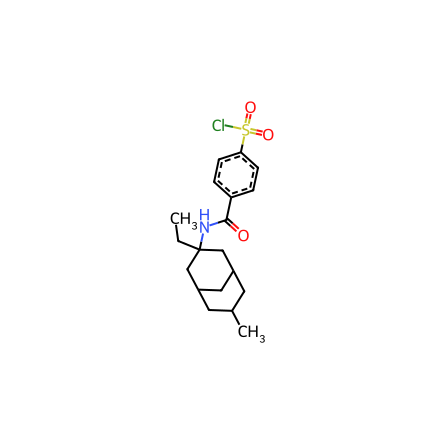 CCC1(NC(=O)c2ccc(S(=O)(=O)Cl)cc2)CC2CC(C)CC(C2)C1